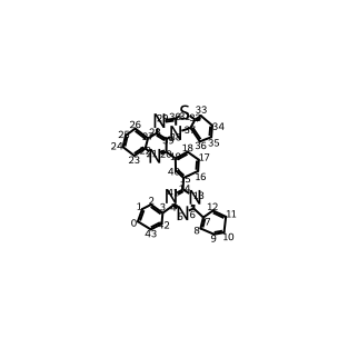 c1ccc(-c2nc(-c3ccccc3)nc(-c3cccc(-c4nc5ccccc5c5nc6sc7ccccc7n6c45)c3)n2)cc1